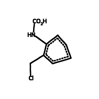 O=C(O)Nc1ccccc1CCl